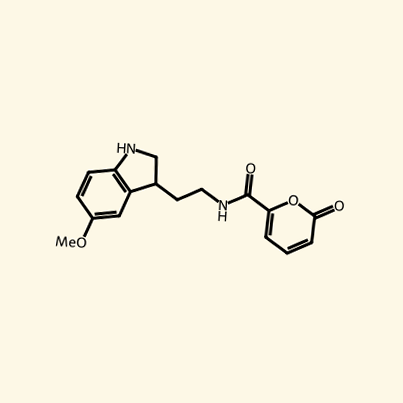 COc1ccc2c(c1)C(CCNC(=O)c1cccc(=O)o1)CN2